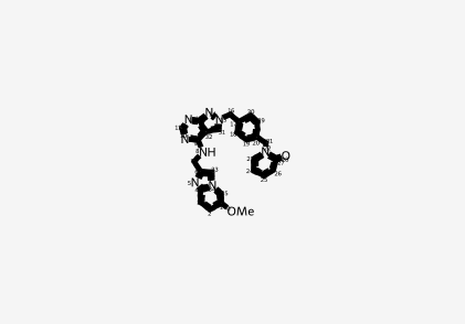 COc1ccc2nc(CNc3ncnc4nn(Cc5ccc(Cn6ccccc6=O)cc5)cc34)cn2c1